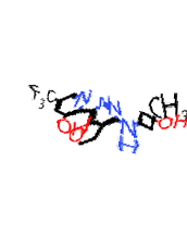 CC1(O)CC(Nc2nnc(-c3ncc(C(F)(F)F)cc3O)c3c2CCO3)C1